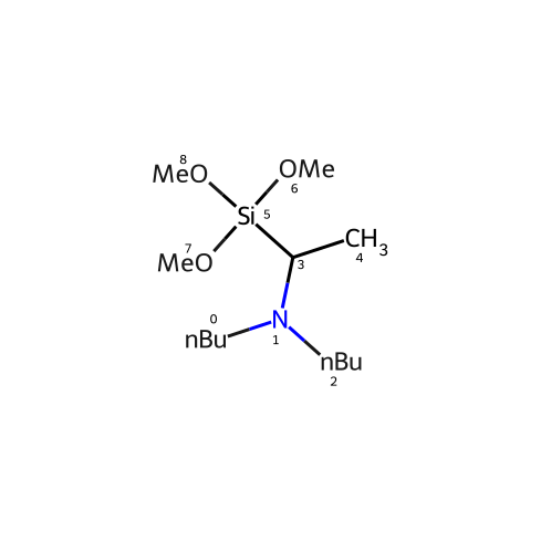 CCCCN(CCCC)C(C)[Si](OC)(OC)OC